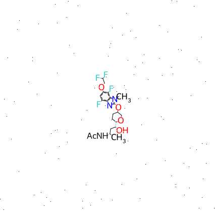 CC(=O)N[C@@H](C)CC(O)[C@@H]1CCC(Oc2nc3c(F)cc(OCC(F)F)c(F)c3n2C)CO1